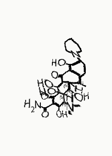 C[C@@H]1c2ccc(N3CCCCC3)c(O)c2C(=O)C2=C(O)[C@@]3(O)C(=O)C(C(N)=O)=C(O)[C@H](N(C)C)[C@H]3[C@H](O)[C@H]21